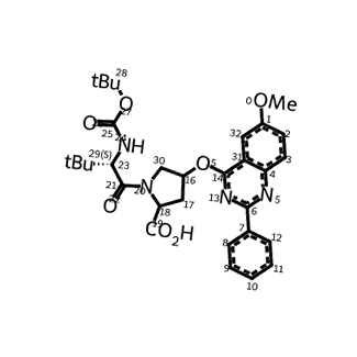 COc1ccc2nc(-c3ccccc3)nc(OC3CC(C(=O)O)N(C(=O)[C@@H](NC(=O)OC(C)(C)C)C(C)(C)C)C3)c2c1